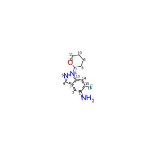 Nc1cc2cnn(C3CCCCO3)c2cc1F